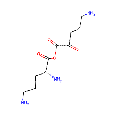 NCCCC(=O)C(=O)OC(=O)[C@H](N)CCCN